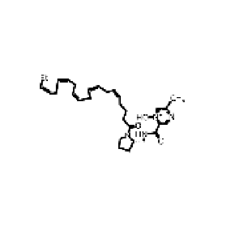 CC/C=C\C/C=C\C/C=C\C/C=C\C/C=C\CCCC(=O)N1CCC[C@H]1CNC(=O)c1cnc(C)c[n+]1O